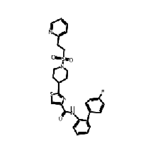 O=C(Nc1ccccc1-c1ccc(F)cc1)c1csc(C2CCN(S(=O)(=O)CCc3ccccn3)CC2)n1